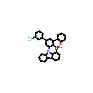 Clc1cccc(-c2cc3c4c(c2)-n2c5ccccc5c5cccc(c52)B4Oc2ccccc2-3)c1